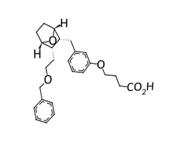 O=C(O)CCCOc1cccc(C[C@@H]2[C@H](CCOCc3ccccc3)[C@@H]3CC[C@H]2O3)c1